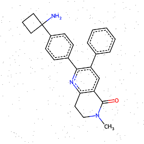 CN1CCc2nc(-c3ccc(C4(N)CCC4)cc3)c(-c3ccccc3)cc2C1=O